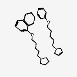 C1=CCN(CCCCCOc2ccccc2)C1.c1cc2c(c(OCCCCCN3CCCC3)c1)CCCC2